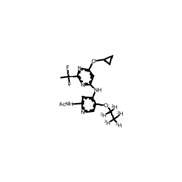 [2H]C([2H])([2H])C([2H])([2H])Oc1cnc(NC(C)=O)cc1Nc1cc(OC2CC2)nc(C(C)(F)F)n1